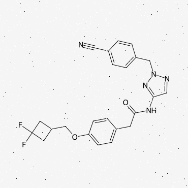 N#Cc1ccc(Cn2ncc(NC(=O)Cc3ccc(OCC4CC(F)(F)C4)cc3)n2)cc1